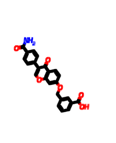 NC(=O)c1ccc(-c2coc3cc(OCc4cccc(C(=O)O)c4)ccc3c2=O)cc1